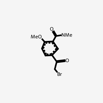 CNC(=O)c1cc(C(=O)CBr)ccc1OC